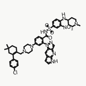 CN1CCC(Nc2ccc(S(=O)(=O)NC(=O)c3ccc(N4CCN(CC5=C(c6ccc(Cl)cc6)CC(C)(C)CC5)CC4)cc3-n3ncc4nc5[nH]ccc5cc43)cc2[N+](=O)[O-])CC1